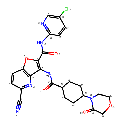 N#Cc1ccc2oc(C(=O)Nc3ccc(Cl)cn3)c(NC(=O)C3CCC(N4CCOCC4=O)CC3)c2n1